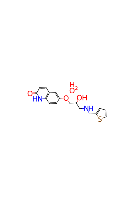 O.O=c1ccc2cc(OCC(O)CNCc3cccs3)ccc2[nH]1